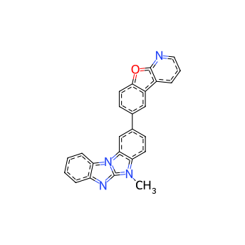 Cn1c2ccc(-c3ccc4oc5ncccc5c4c3)cc2n2c3ccccc3nc12